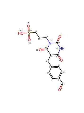 O=Cc1ccc(CC2C(=O)NC(=O)N(CCCS(=O)(=O)O)C2=O)cc1